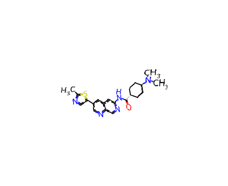 Cc1ncc(-c2cnc3cnc(NC(=O)[C@H]4CC[C@H](N(C)C)CC4)cc3c2)s1